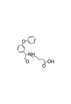 O=CC(NCCCCC(=O)O)c1cccc(Oc2ccccc2)c1